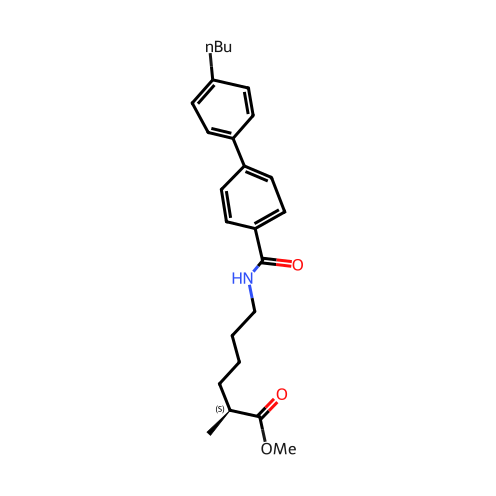 CCCCc1ccc(-c2ccc(C(=O)NCCCC[C@H](C)C(=O)OC)cc2)cc1